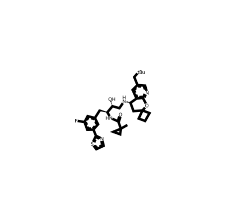 CC(C)(C)Cc1cnc2c(c1)[C@@H](NC[C@@H](O)[C@H](Cc1cc(F)cc(-c3nccs3)c1)NC(=O)C1(C)CC1)CC1(CCC1)O2